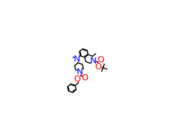 CC1c2cccc(N(C)C3CCN(C(=O)OCc4ccccc4)CC3)c2CCN1C(=O)OC(C)(C)C